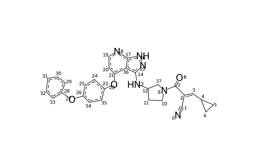 N#CC(=CC1CC1)C(=O)N1CCC(Nc2n[nH]c3nccc(Oc4ccc(Oc5ccccc5)cc4)c23)C1